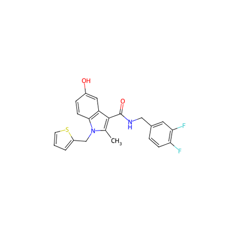 Cc1c(C(=O)NCc2ccc(F)c(F)c2)c2cc(O)ccc2n1Cc1cccs1